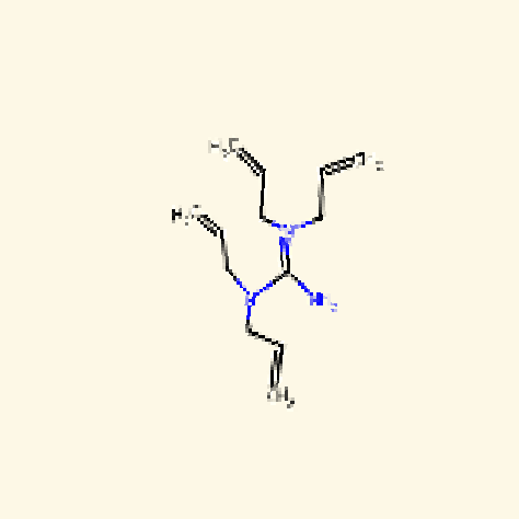 C=CCN(CC=C)C(N)=[N+](CC=C)CC=C